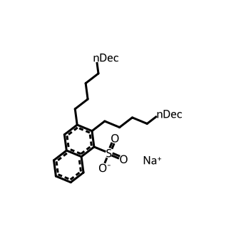 CCCCCCCCCCCCCCc1cc2ccccc2c(S(=O)(=O)[O-])c1CCCCCCCCCCCCCC.[Na+]